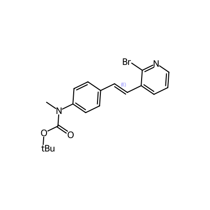 CN(C(=O)OC(C)(C)C)c1ccc(/C=C/c2cccnc2Br)cc1